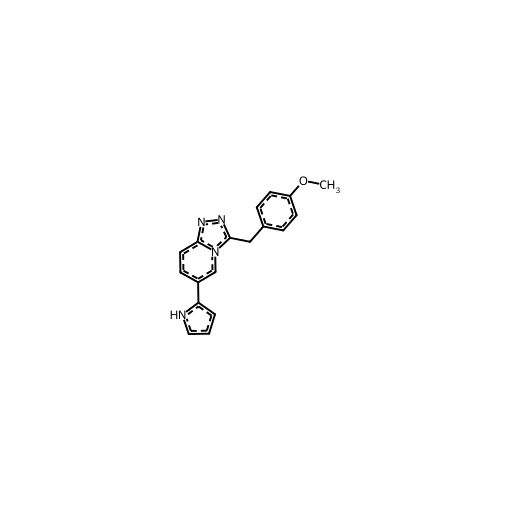 COc1ccc(Cc2nnc3ccc(-c4ccc[nH]4)cn23)cc1